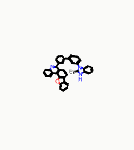 CCC1Nc2ccccc2N1c1cccc(-c2cccc(-c3nc4ccccc4c4c3ccc3c5ccccc5oc34)c2)c1